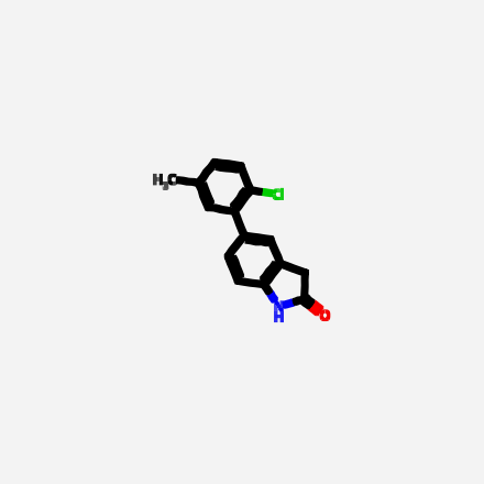 Cc1ccc(Cl)c(-c2ccc3c(c2)CC(=O)N3)c1